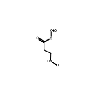 CCNCCC(=O)OC=O